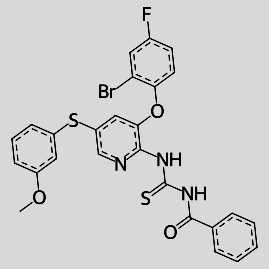 COc1cccc(Sc2cnc(NC(=S)NC(=O)c3ccccc3)c(Oc3ccc(F)cc3Br)c2)c1